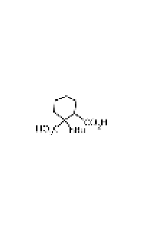 CCCCC1(C(=O)O)CCCCC1C(=O)O